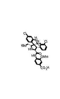 COc1cc(C(=O)O)ccc1NC(=O)[C@H]1N[C@H](CC(C)(C)C)[C@]2(C(=O)Nc3cc(Cl)ccc32)[C@@H]1c1cccc(Cl)c1F